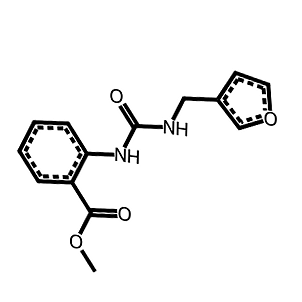 COC(=O)c1ccccc1NC(=O)NCc1ccoc1